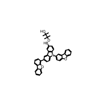 CC(C)(O)C(C)(C)OBc1ccc2c(c1)c1cc(-c3cccc4c3oc3ccccc34)ccc1n2-c1ccc2oc3ccccc3c2c1